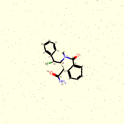 CN(C(=O)c1ccccc1)[C@H](CC(N)=O)[C@@H](F)c1ccccc1